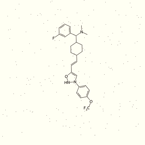 CN(C)C(c1cccc(F)c1)C1CCC(C=CC2=CN(c3ccc(OC(F)(F)F)cc3)NO2)CC1